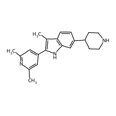 Cc1cc(-c2[nH]c3cc(C4CCNCC4)ccc3c2C)cc(C)n1